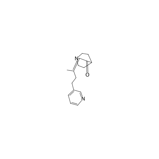 CC(CCc1cccnc1)=C1C(=O)C2CCN1CC2